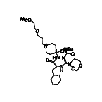 COCCOCCCN1CCC(C#N)(NC(=O)C(CC2CCCCC2)NC(=NC(=O)OCC(C)C)N2CCOCC2)CC1